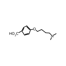 CN(C)CCCCOc1ccc(C(=O)O)cc1